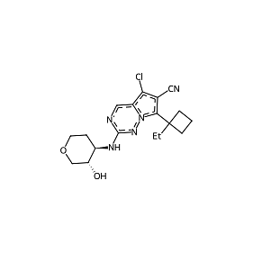 CCC1(c2c(C#N)c(Cl)c3cnc(N[C@@H]4CCOC[C@H]4O)nn23)CCC1